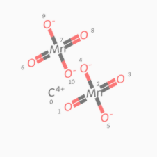 [C+4].[O]=[Mn](=[O])([O-])[O-].[O]=[Mn](=[O])([O-])[O-]